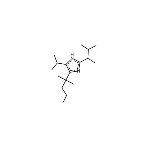 CCCC(C)(C)c1nc(C(C)C(C)C)[nH]c1C(C)C